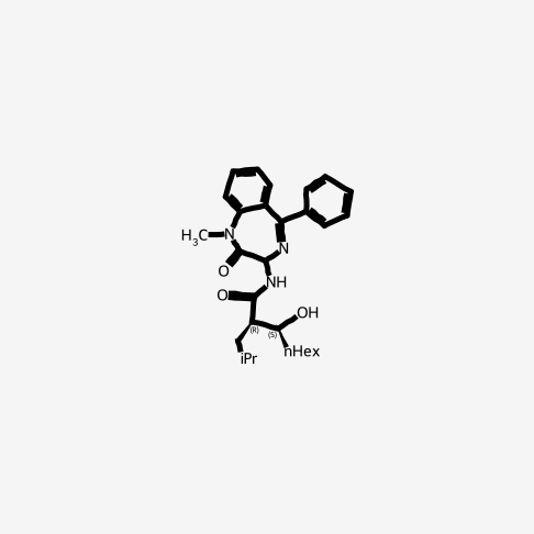 CCCCCC[C@H](O)[C@@H](CC(C)C)C(=O)NC1N=C(c2ccccc2)c2ccccc2N(C)C1=O